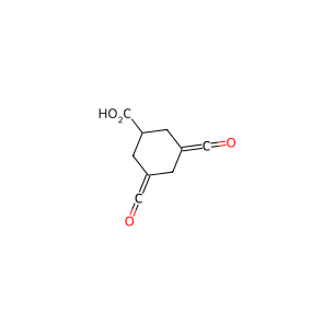 O=C=C1CC(=C=O)CC(C(=O)O)C1